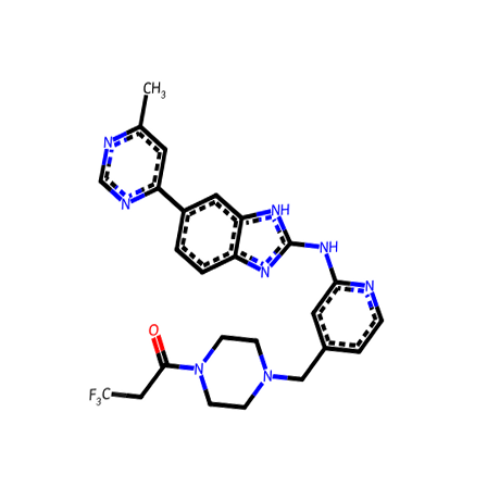 Cc1cc(-c2ccc3nc(Nc4cc(CN5CCN(C(=O)CC(F)(F)F)CC5)ccn4)[nH]c3c2)ncn1